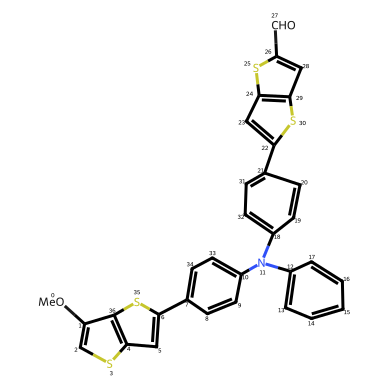 COc1csc2cc(-c3ccc(N(c4ccccc4)c4ccc(-c5cc6sc(C=O)cc6s5)cc4)cc3)sc12